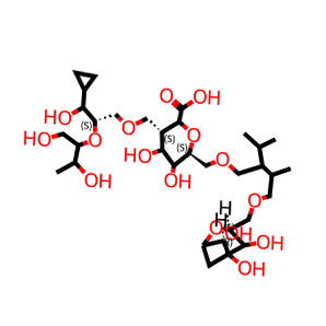 CC(C)C(COC[C@@H]1OC(C(=O)O)[C@@H](COC[C@H](OC(CO)C(C)O)C(O)C2CC2)C(O)C1O)C(C)COC[C@@H]1OC2CC(O)(C1O)[C@@H]2O